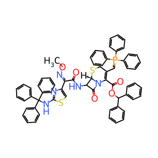 CO/N=C(\C(=O)NC1C(=O)N2C(C(=O)OC(c3ccccc3)c3ccccc3)=C(C=P(c3ccccc3)(c3ccccc3)c3ccccc3)CS[C@@H]12)c1csc(NC(c2ccccc2)(c2ccccc2)c2ccccc2)n1